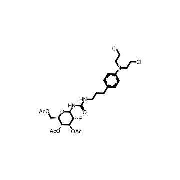 CC(=O)OC[C@H]1O[C@@H](NC(=O)NCCCc2ccc(N(CCCl)CCCl)cc2)[C@H](F)[C@@H](OC(C)=O)[C@@H]1OC(C)=O